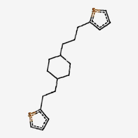 c1csc(CCCC2CCC(CCc3cccs3)CC2)c1